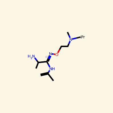 C=C(C)N/C(=N\OCCN(C)C(C)C)C(C)N